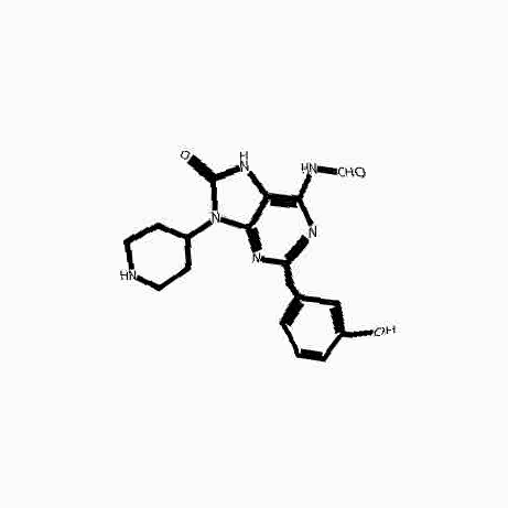 O=CNc1nc(-c2cccc(O)c2)nc2c1[nH]c(=O)n2C1CCNCC1